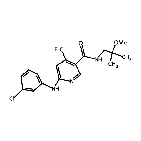 COC(C)(C)CNC(=O)c1cnc(Nc2cccc(Cl)c2)cc1C(F)(F)F